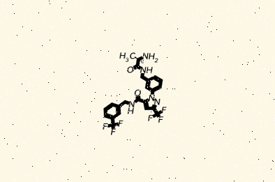 C[C@H](N)C(=O)NCc1cccc(-n2nc(C(F)(F)F)cc2C(=O)NCc2cccc(C(F)(F)F)c2)c1